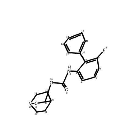 O=C(Nc1cccc(F)c1-c1ccccc1)OC1CN2CCC1CC2